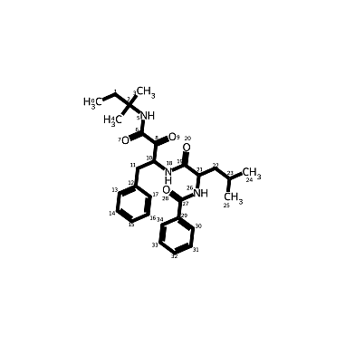 CCC(C)(C)NC(=O)C(=O)C(Cc1ccccc1)NC(=O)C(CC(C)C)NC(=O)c1ccccc1